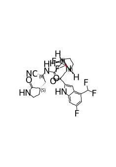 N#C[C@@H](C[C@@H]1CCNC1=O)NC(=O)[C@@H]1[C@@H]2CC[C@@H](CC2(F)F)N1C(=O)c1cc2c(C(F)F)cc(F)cc2[nH]1